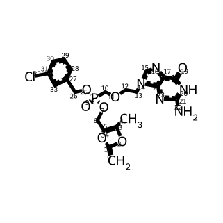 C=C1OC(C)=C(COP(=O)(COCCn2cnc3c(=O)[nH]c(N)nc32)OCc2cccc(Cl)c2)O1